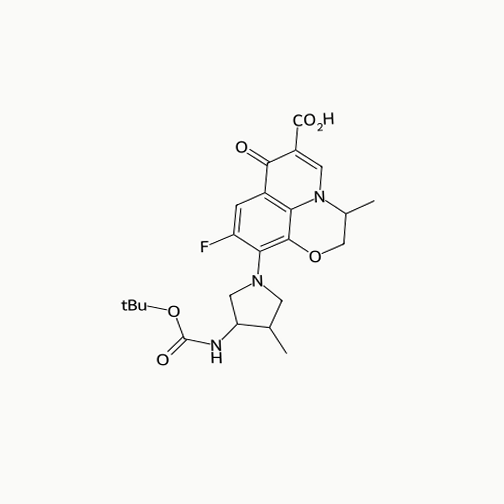 CC1CN(c2c(F)cc3c(=O)c(C(=O)O)cn4c3c2OCC4C)CC1NC(=O)OC(C)(C)C